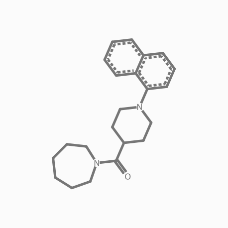 O=C(C1CCN(c2cccc3ccccc23)CC1)N1CCCCCC1